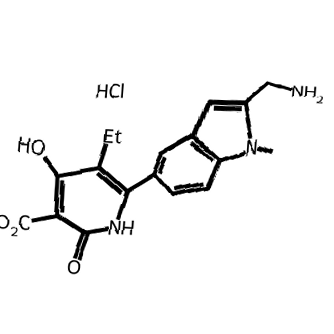 CCc1c(-c2ccc3c(c2)cc(CN)n3C)[nH]c(=O)c(C(=O)O)c1O.Cl